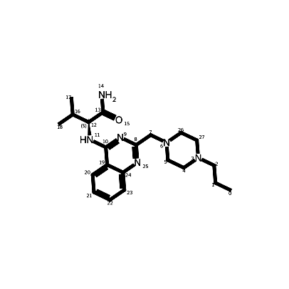 CCCN1CCN(Cc2nc(N[C@H](C(N)=O)C(C)C)c3ccccc3n2)CC1